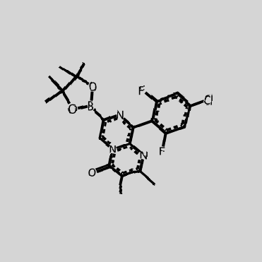 Cc1nc2c(-c3c(F)cc(Cl)cc3F)nc(B3OC(C)(C)C(C)(C)O3)cn2c(=O)c1C